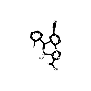 C#Cc1ccc2c(c1)C(c1ccccc1F)=N[C@@H](C)c1c(C(=O)O)ncn1-2